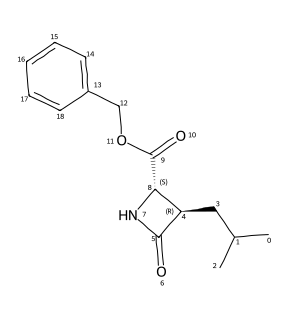 CC(C)C[C@H]1C(=O)N[C@@H]1C(=O)OCc1ccccc1